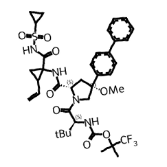 C=CC1CC1(NC(=O)[C@@H]1C[C@@](OC)(c2ccc(-c3ccccc3)cc2)CN1C(=O)[C@@H](NC(=O)OC(C)(C)C(F)(F)F)C(C)(C)C)C(=O)NS(=O)(=O)C1CC1